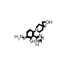 NSc1ccc(N2CCC(F)(CO)CC2)c(-c2nnn[nH]2)c1S